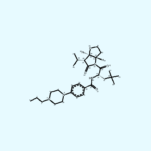 CCCN1CCN(c2ccc(C(=O)N[C@@H](CC(C)(C)C)C(=O)N3C(=O)[C@H](C(C)C)[C@H]4OCC[C@@H]43)cc2)CC1